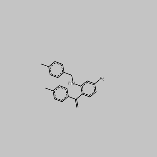 C=C(c1ccc(C)cc1)c1ccc(CC)cc1NCc1ccc(C)cc1